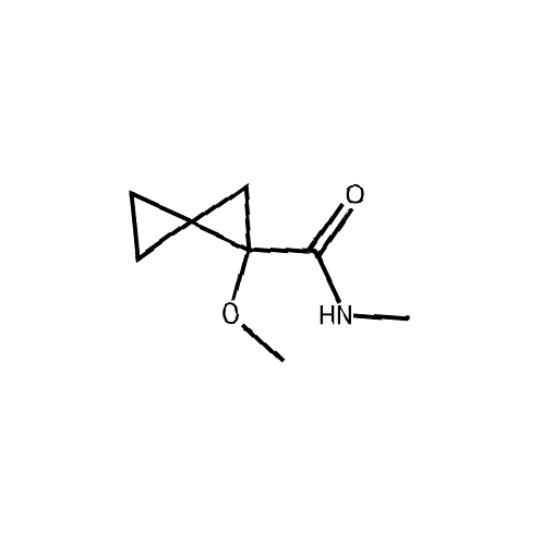 CNC(=O)C1(OC)CC12CC2